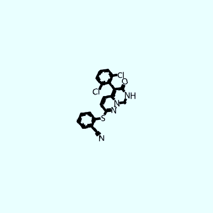 N#Cc1ccccc1SC1=NN2CNC(=O)C(c3c(Cl)cccc3Cl)=C2C=C1